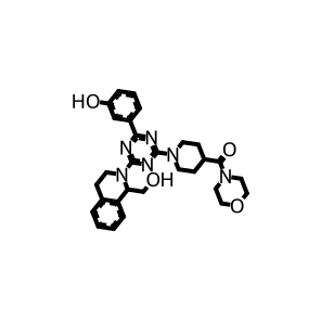 O=C(C1CCN(c2nc(-c3cccc(O)c3)nc(N3CCc4ccccc4C3CO)n2)CC1)N1CCOCC1